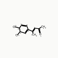 CC(=O)C=C(C)C1=CC(Cl)C(Cl)C=C1